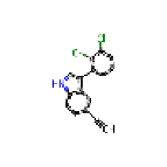 C#Cc1ccc2[nH]cc(-c3cccc(Cl)c3Cl)c2c1